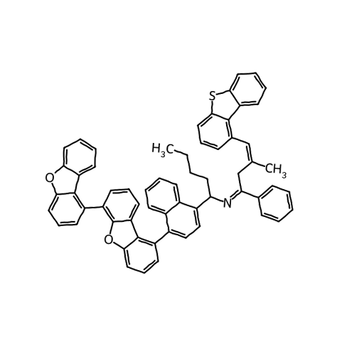 CCCCC(/N=C(\C/C(C)=C\c1cccc2sc3ccccc3c12)c1ccccc1)c1ccc(-c2cccc3oc4c(-c5cccc6oc7ccccc7c56)cccc4c23)c2ccccc12